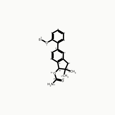 CCOc1ccccc1-c1ccc2c(c1)CC(C)(C)C2OC(N)=O